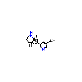 C#Cc1cncc(C2=C[C@H]3NCCC[C@H]3C2)c1